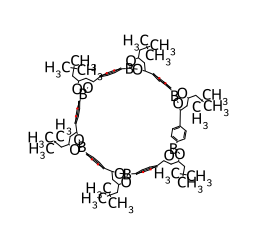 CC(C)(C)CC1CC2OB(O1)c1ccc(cc1)C1CC(CC(C)(C)C)OB(O1)c1ccc(cc1)C1CC(CC(C)(C)C)OB(O1)c1ccc(cc1)C1CC(CC(C)(C)C)OB(O1)c1ccc(cc1)C1CC(CC(C)(C)C)OB(O1)c1ccc(cc1)C1CC(CC(C)(C)C)OB(O1)c1ccc2cc1